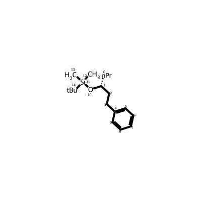 CCC[C@H](CCc1ccccc1)O[Si](C)(C)C(C)(C)C